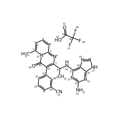 Cc1cccc2nc(C(C)Nc3nc(N)nc4[nH]cnc34)c(-c3cccc(C#N)c3)c(=O)n12.O=C(O)C(F)(F)F